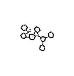 O=P1(c2ccccc2)c2ccccc2-c2ccc3c(c21)c1ccccc1n3-c1cc(-c2ccccc2)cc(-c2ccccc2)c1